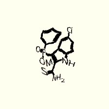 COP(=O)(c1ccccc1)c1c(C(N)=S)[nH]c2ccc(Cl)cc12